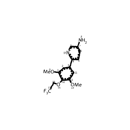 COc1cc(-c2ccc(N)cn2)cc(OC)c1OCC(F)(F)F